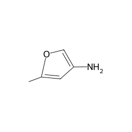 Cc1cc(N)co1